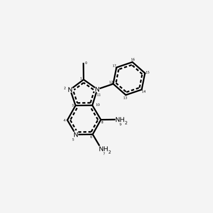 Cc1nc2cnc(N)c(N)c2n1-c1ccccc1